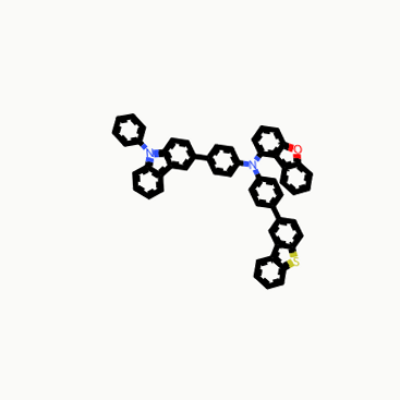 c1ccc(-n2c3ccccc3c3cc(-c4ccc(N(c5ccc(-c6ccc7sc8ccccc8c7c6)cc5)c5cccc6oc7ccccc7c56)cc4)ccc32)cc1